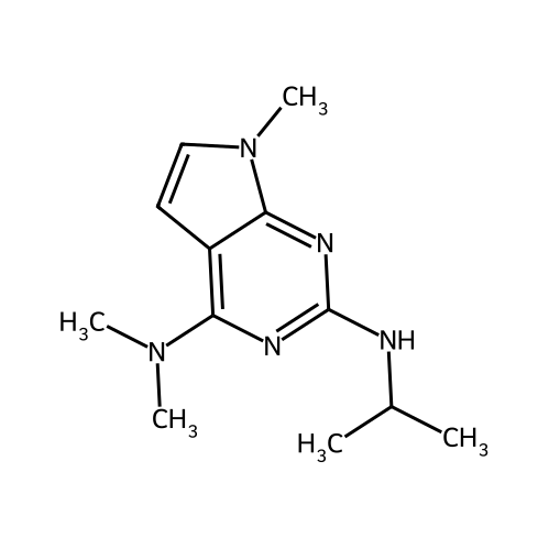 CC(C)Nc1nc(N(C)C)c2ccn(C)c2n1